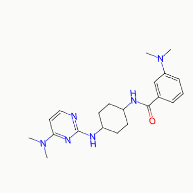 CN(C)c1cccc(C(=O)NC2CCC(Nc3nccc(N(C)C)n3)CC2)c1